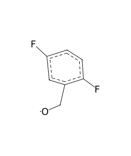 [O]Cc1cc(F)ccc1F